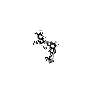 O=C(Nc1c[nH]c2cc(F)c(F)cc12)c1cccc2nn(CCC(F)(F)F)cc12